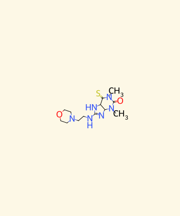 CN1C(=O)N(C)C2N=C(NCCN3CCOCC3)NC2C1=S